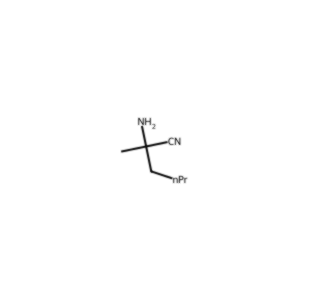 CCCCC(C)(N)C#N